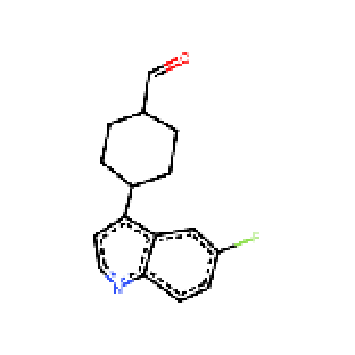 O=CC1CCC(c2ccnc3ccc(F)cc23)CC1